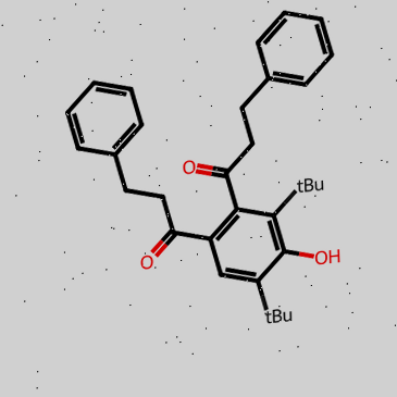 CC(C)(C)c1cc(C(=O)CCc2ccccc2)c(C(=O)CCc2ccccc2)c(C(C)(C)C)c1O